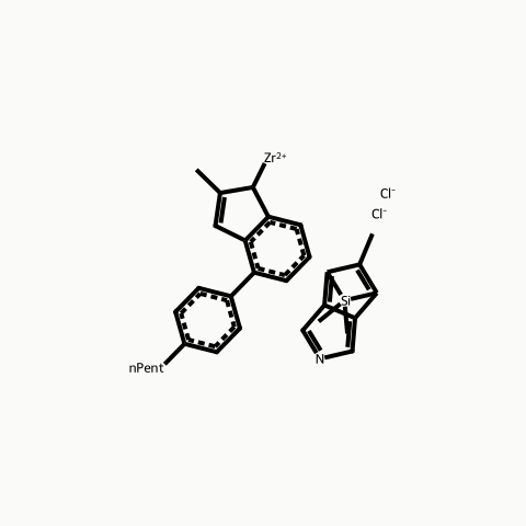 CC1=C2C3=CN=CC3=C1[Si]2(C)C.CCCCCc1ccc(-c2cccc3c2C=C(C)[CH]3[Zr+2])cc1.[Cl-].[Cl-]